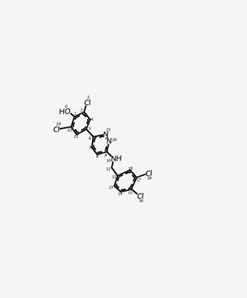 Oc1c(Cl)cc(-c2ccc(NCc3ccc(Cl)c(Cl)c3)nn2)cc1Cl